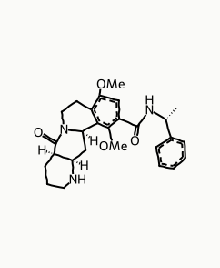 COc1cc(C(=O)N[C@H](C)c2ccccc2)c(OC)c2c1CCN1C(=O)[C@@H]3CCCN[C@@H]3C[C@H]21